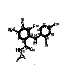 CONC(=O)c1cc(Br)c(F)c(F)c1Nc1ccc(I)cc1C